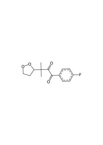 CC(C)(C(=O)C(=O)c1ccc(F)cc1)C1CCOO1